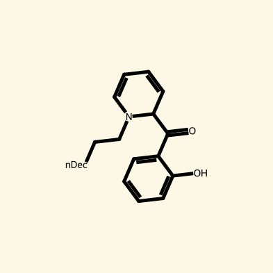 CCCCCCCCCCCCN1C=CC=CC1C(=O)c1ccccc1O